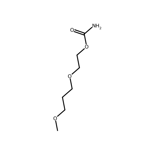 COCCCOCCOC(N)=O